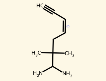 C#C/C=C\CC(C)(C)C(N)N